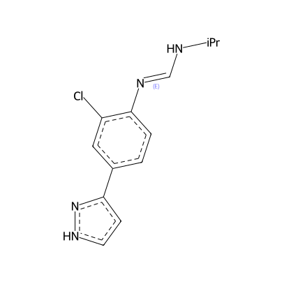 CC(C)N/C=N/c1ccc(-c2cc[nH]n2)cc1Cl